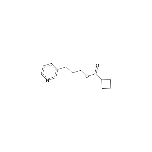 O=C(OCCCc1cccnc1)C1CCC1